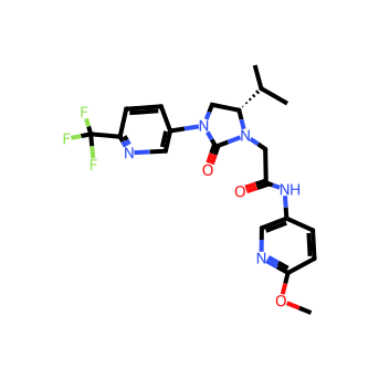 COc1ccc(NC(=O)CN2C(=O)N(c3ccc(C(F)(F)F)nc3)C[C@@H]2C(C)C)cn1